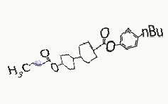 C/C=C/C(=O)OC1CCC(C2CCC(C(=O)Oc3ccc(CCCC)cc3)CC2)CC1